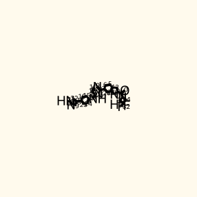 O=C(C1Cc2ccc(-c3nccc(Nc4ccc(-c5cn[nH]c5)cc4)n3)cc2N1)N1CC(F)(F)C1